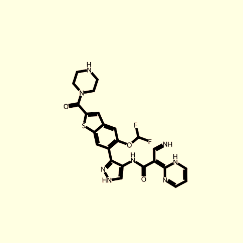 N=C/C(C(=O)Nc1c[nH]nc1-c1cc2sc(C(=O)N3CCNCC3)cc2cc1OC(F)F)=C1/N=CC=CN1